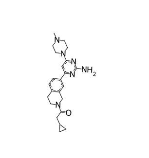 CN1CCN(c2cc(-c3ccc4c(c3)CN(C(=O)CC3CC3)CC4)nc(N)n2)CC1